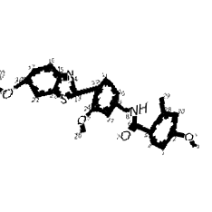 COc1ccc(C(=O)Nc2ccc(-c3nc4ccc(OC)cc4s3)c(OC)c2)c(C)c1